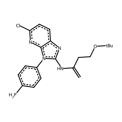 C=C(CCOC(C)(C)C)Nc1nc2ccc(Cl)nc2n1-c1ccc(P)cc1